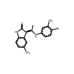 CC(Nc1ccc(Br)c([N+](=O)[O-])c1)=C1C(=O)Nc2ccc(N)cc21